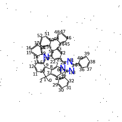 CC1(C)c2ccccc2-c2c1ccc1c3ccccc3n(-c3cc(-c4nc(-c5ccccc5)nc(-c5ccccc5)n4)cc4c5ccccc5c5ccccc5c34)c21